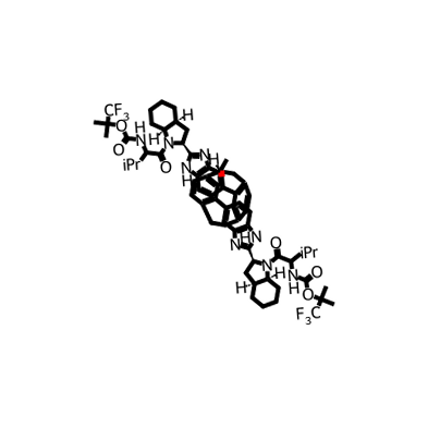 CC(C)C(NC(=O)OC(C)(C)C(F)(F)F)C(=O)N1[C@H](c2nc3cc(-c4cc5ccc4CCc4ccc(c(-c6ccc7[nH]c([C@@H]8C[C@@H]9CCCC[C@@H]9N8C(=O)C(NC(=O)OC(C)(C)C(F)(F)F)C(C)C)nc7c6)c4)C[C@H]5C)ccc3[nH]2)C[C@@H]2CCCC[C@@H]21